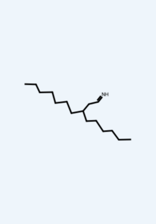 CCCCCCCC(CC=N)CCCCCC